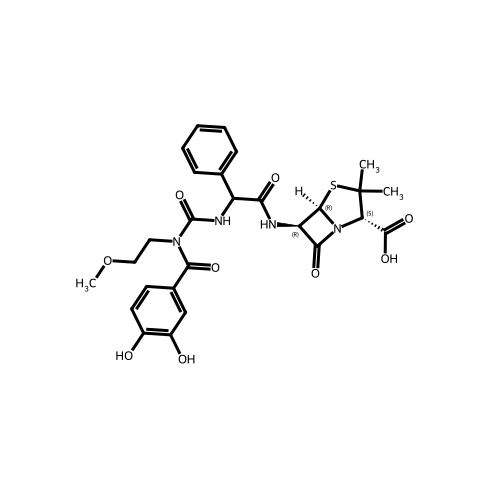 COCCN(C(=O)NC(C(=O)N[C@@H]1C(=O)N2[C@@H]1SC(C)(C)[C@@H]2C(=O)O)c1ccccc1)C(=O)c1ccc(O)c(O)c1